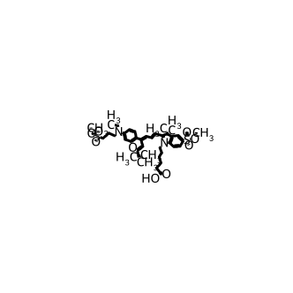 CCN(CCCS(=O)(=O)OC)c1ccc2c(c1)OC(C(C)(C)C)=C/C2=C\C=C\C1=[N+](CCCCCC(=O)O)c2ccc(S(=O)(=O)OC)cc2C1(C)C